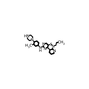 C=CCN1Sc2cnc(Nc3ccc(N4CCNCC4)c(C)c3)nc2-c2cccnc21